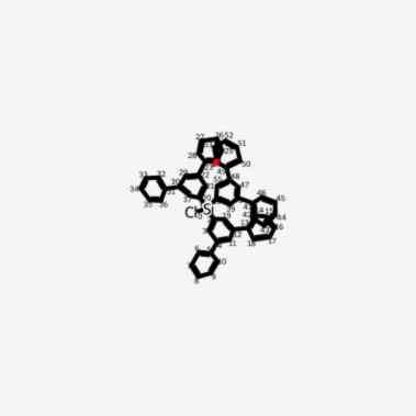 Cl[Si](c1cc(-c2ccccc2)cc(-c2ccccc2)c1)(c1cc(-c2ccccc2)cc(-c2ccccc2)c1)c1cc(-c2ccccc2)cc(-c2ccccc2)c1